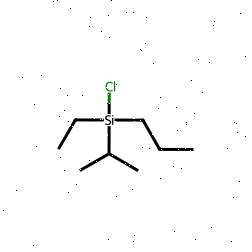 CCC[Si](Cl)(CC)C(C)C